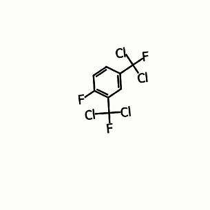 Fc1ccc(C(F)(Cl)Cl)cc1C(F)(Cl)Cl